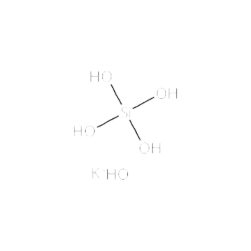 O[Si](O)(O)O.[K+].[OH-]